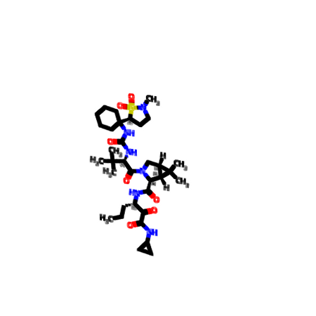 CCC[C@H](NC(=O)[C@@H]1[C@@H]2[C@H](CN1C(=O)[C@@H](NC(=O)NC1([C@@H]3CCN(C)S3(=O)=O)CCCCC1)C(C)(C)C)C2(C)C)C(=O)C(=O)NC1CC1